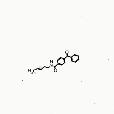 C/C=C/CCNC(=O)c1ccc(C(=O)c2ccccc2)cc1